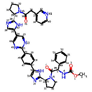 COC(=O)N[C@@H](C(=O)N1CCC[C@H]1c1ncc(-c2ccc(-c3ncc(-c4cnc([C@@H]5CCCN5C(=O)Cc5cccnc5)[nH]4)cn3)cc2)[nH]1)c1ccccc1